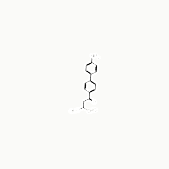 Nc1ccc(-c2ccc(C(=O)CC(C=O)C=O)cc2)cc1